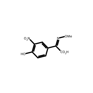 CON=C(C(=O)O)c1ccc(O)c([N+](=O)[O-])c1